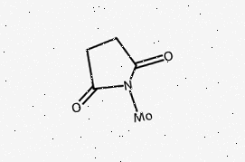 O=C1CCC(=O)[N]1[Mo]